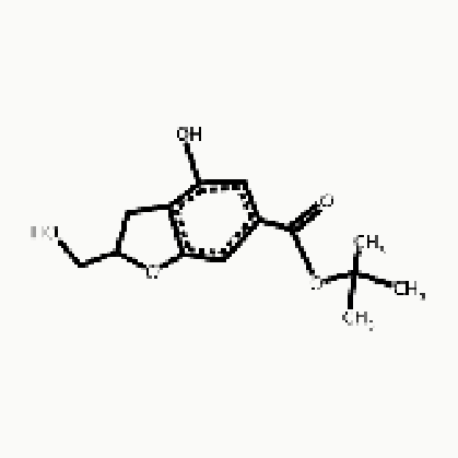 CC(C)(C)OC(=O)c1cc(O)c2c(c1)OC(CO)C2